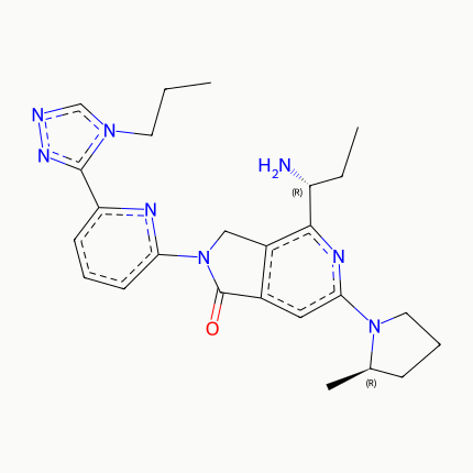 CCCn1cnnc1-c1cccc(N2Cc3c(cc(N4CCC[C@H]4C)nc3[C@H](N)CC)C2=O)n1